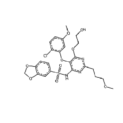 COCCCc1nc(NS(=O)(=O)c2ccc3c(c2)OCO3)c(Oc2cc(OC)ccc2Cl)c(OCCO)n1